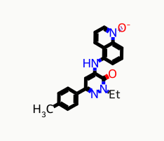 CCn1nc(-c2ccc(C)cc2)cc(Nc2cccc3c2ccc[n+]3[O-])c1=O